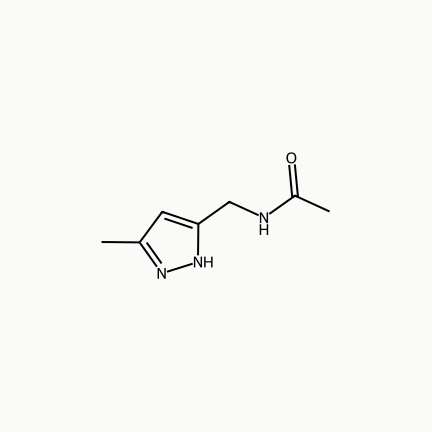 CC(=O)NCc1cc(C)n[nH]1